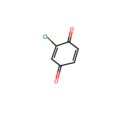 O=C1[C]=C(Cl)C(=O)C=C1